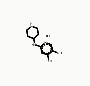 Cc1cc(NC2CCNCC2)ncc1[N+](=O)[O-].Cl